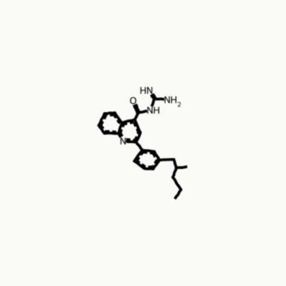 CCCC(C)Cc1cccc(-c2cc(C(=O)NC(=N)N)c3ccccc3n2)c1